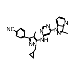 Cc1c(-c2ccc(C#N)cc2)nn(CC2CC2)c1Nc1cc(-n2nc(C)c3ncccc32)ncn1